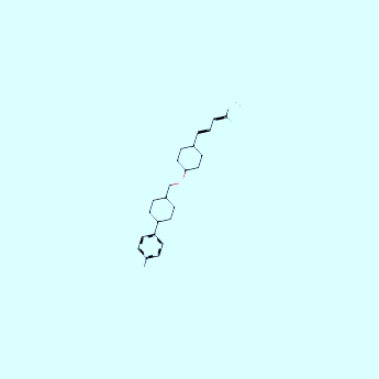 N#CC(F)=CC=CC1CCC(OCC2CCC(c3ccc(C(F)(F)F)cc3)CC2)CC1